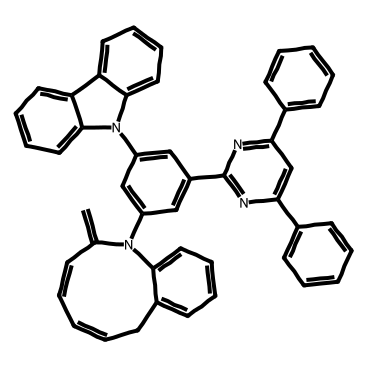 C=C1/C=C\C=C/Cc2ccccc2N1c1cc(-c2nc(-c3ccccc3)cc(-c3ccccc3)n2)cc(-n2c3ccccc3c3ccccc32)c1